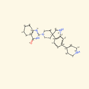 O=c1[nH]c(N2CCC3(CC2)CNc2cc(C4CCNCC4)ccc23)nc2c1CCCC2